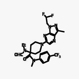 CCN(C=O)C1(C(=O)N(C)c2ccc(C(F)(F)F)cc2)CCN(c2cnc3c(C)nn(CC(F)F)c3n2)CC1